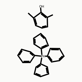 Cc1cccc(C)c1O.c1ccc([PH](c2ccccc2)(c2ccccc2)c2ccccc2)cc1